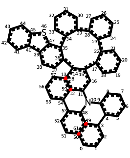 c1ccc(-c2ccccc2N(c2ccc3c(c2)c2ccccc2c2ccccc2c2ccccc2c2c3ccc3c4ccccc4sc32)c2ccccc2-c2ccccc2)cc1